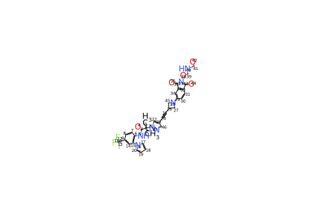 CC(C)(C(=O)Nc1ccc(C(F)(F)F)cc1-n1cccc1)n1cc(C#CC2CN(c3ccc4c(c3)C(=O)N(OCNC=O)C4=O)C2)cn1